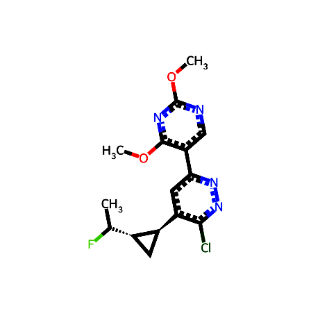 COc1ncc(-c2cc([C@H]3C[C@@H]3C(C)F)c(Cl)nn2)c(OC)n1